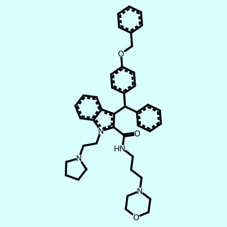 O=C(NCCCN1CCOCC1)c1c(C(c2ccccc2)c2ccc(OCc3ccccc3)cc2)c2ccccc2n1CCN1CCCC1